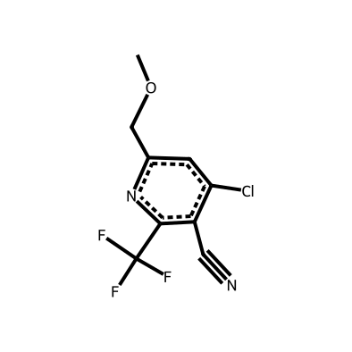 COCc1cc(Cl)c(C#N)c(C(F)(F)F)n1